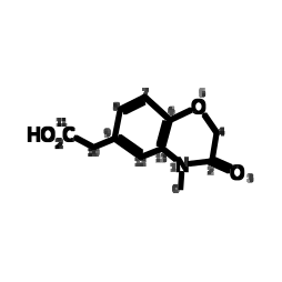 CN1C(=O)COc2ccc(CC(=O)O)cc21